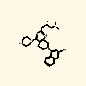 C[C@@H](Cc1nc2c(c(N3CCNCC3)n1)CCN(c1cc(O)cc3ccccc13)C2)CN(C)C